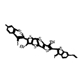 CCc1ccc2c(I)c(-c3sc4c(sc5c6sc(-c7sc8cc(C)ccc8c7I)c(Br)c6sc45)c3Br)sc2c1